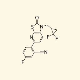 N#Cc1cc(F)ccc1-c1ccc2c(n1)sc(=O)n2CC1CC1(F)F